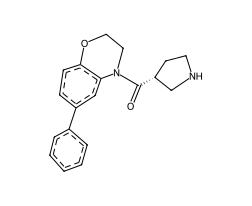 O=C([C@@H]1CCNC1)N1CCOc2ccc(-c3ccccc3)cc21